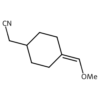 COC=C1CCC(CC#N)CC1